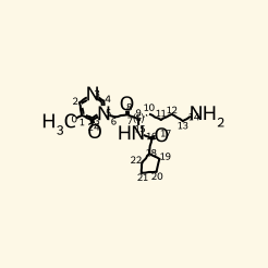 Cc1cncn(CC(=O)[C@H](CCCCN)NC(=O)C2CCCC2)c1=O